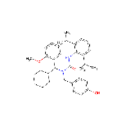 COc1ccccc1C(C1CCCCC1)N(Cc1ccc(O)cc1)C(=O)Nc1c(C(C)C)cccc1C(C)C